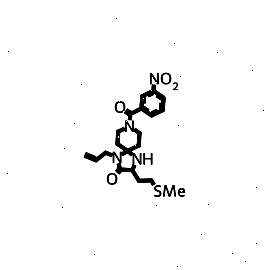 C=CCN1C(=O)C(CCSC)NC12CCN(C(=O)c1cccc([N+](=O)[O-])c1)CC2